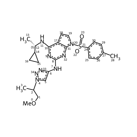 COCC(C)n1cc(Nc2nc(N[C@@H](C)C3CC3)c3ccn(S(=O)(=O)c4ccc(C)cc4)c3n2)nn1